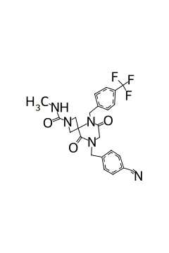 CNC(=O)N1CC2(C1)C(=O)N(Cc1ccc(C#N)cc1)CC(=O)N2Cc1ccc(C(F)(F)F)cc1